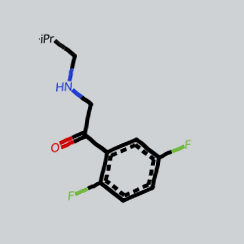 C[C](C)CNCC(=O)c1cc(F)ccc1F